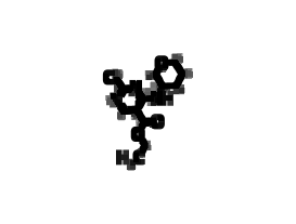 CCOC(=O)c1cnc(Cl)nc1N[C@@H]1CCCOC1